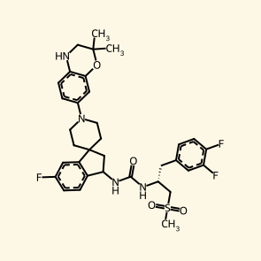 CC1(C)CNc2ccc(N3CCC4(CC3)CC(NC(=O)N[C@H](Cc3ccc(F)c(F)c3)CS(C)(=O)=O)c3ccc(F)cc34)cc2O1